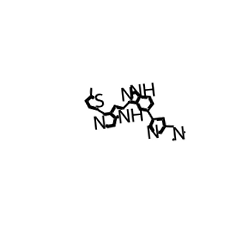 Cc1ccc(-c2nccc3[nH]c(-c4n[nH]c5ccc(-c6cncc(CN(C)C)c6)cc45)cc23)s1